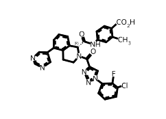 Cc1cc(NC(=O)[C@H]2c3cccc(-c4cncnc4)c3CCN2C(=O)c2cn(-c3cccc(Cl)c3F)nn2)ccc1C(=O)O